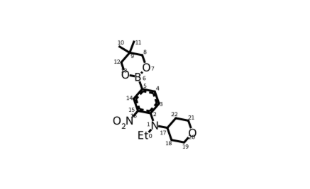 CCN(c1ccc(B2OCC(C)(C)CO2)cc1[N+](=O)[O-])C1CCOCC1